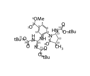 COC(=O)c1ccc(N2C(=O)C(C)CC2NC(=O)OC(C)(C)C)c(NC(=NC(=O)OC(C)(C)C)NC(=O)OC(C)(C)C)c1